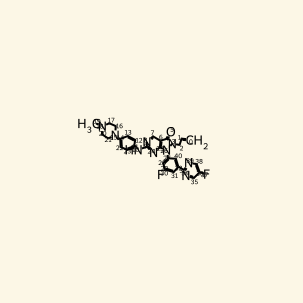 C=CCn1c(=O)c2cnc(Nc3ccc(N4CCN(C)CC4)cc3)nc2n1-c1cc(F)cc(-c2ncc(F)cn2)c1